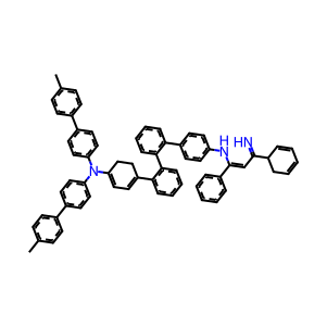 Cc1ccc(-c2ccc(N(C3=CC=C(c4ccccc4-c4ccccc4-c4ccc(N/C(=C\C(=N)C5C=CC=CC5)c5ccccc5)cc4)CC3)c3ccc(-c4ccc(C)cc4)cc3)cc2)cc1